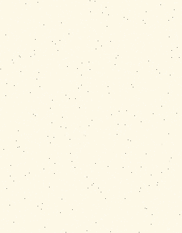 CC(C)(C)c1cc(CCC(=O)OCCN2C(C)(C)CC3(CC2(C)C)OCC(COC(=O)CCc2cc(C(C)(C)C)c(O)c(C(C)(C)C)c2)O3)cc(C(C)(C)C)c1O